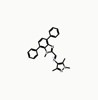 Cc1nn(C)c(C)c1/N=C/c1nc2c(-c3ccccc3)ccc(-c3ccccc3)c2n1C